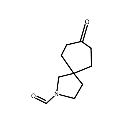 O=CN1CCC2(CCC(=O)CC2)C1